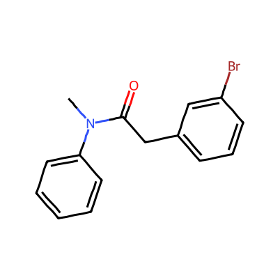 CN(C(=O)Cc1cccc(Br)c1)c1ccccc1